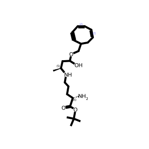 C[C@@H](CC(O)OCC1C#C/C=C\C=C/C1)NCCC[C@H](N)C(=O)OC(C)(C)C